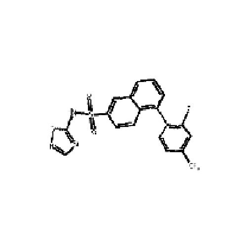 O=S(=O)(Nc1ncns1)c1ccc2c(-c3ccc(C(F)(F)F)cc3F)cccc2c1